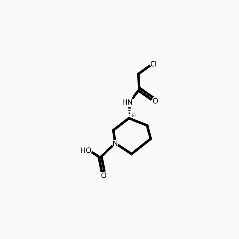 O=C(CCl)N[C@@H]1CCCN(C(=O)O)C1